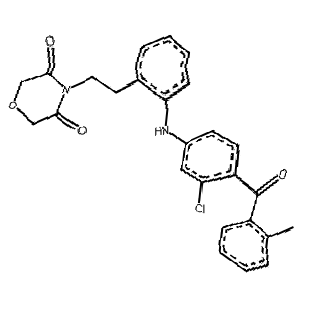 Cc1ccccc1C(=O)c1ccc(Nc2ccccc2CCN2C(=O)COCC2=O)cc1Cl